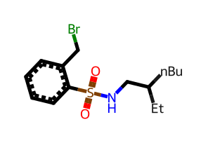 CCCCC(CC)CNS(=O)(=O)c1ccccc1CBr